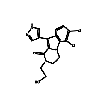 O=C1c2c(-c3cn[nH]c3)c3ccc(Cl)c(Cl)c3n2CCN1CCO